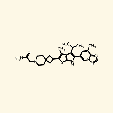 Cc1c(C2CC3(CCN(CC(N)=O)CC3)C2)sc2[nH]c(-c3cc(C)c4ncnn4c3)c(C(C)C)c12